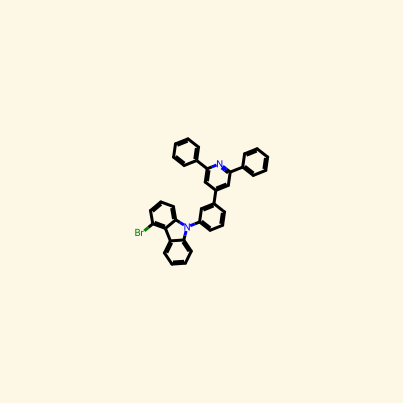 Brc1cccc2c1c1ccccc1n2-c1cccc(-c2cc(-c3ccccc3)nc(-c3ccccc3)c2)c1